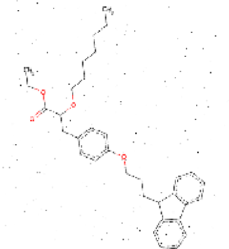 CCCCCCCOC(Cc1ccc(OCCCC2c3ccccc3-c3ccccc32)cc1)C(=O)OCC